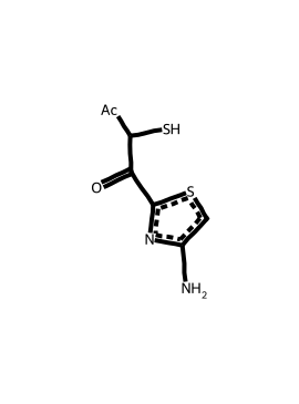 CC(=O)C(S)C(=O)c1nc(N)cs1